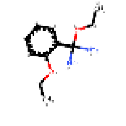 CCOc1ccccc1C(N)(N)OCC